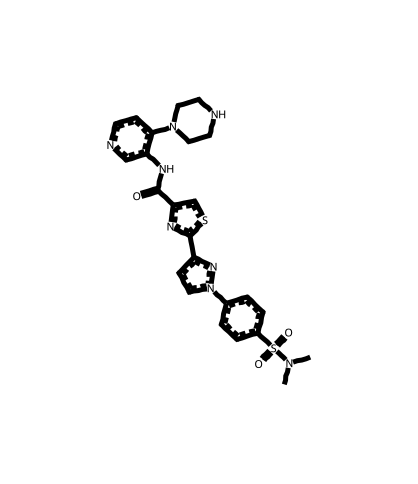 CN(C)S(=O)(=O)c1ccc(-n2ccc(-c3nc(C(=O)Nc4cnccc4N4CCNCC4)cs3)n2)cc1